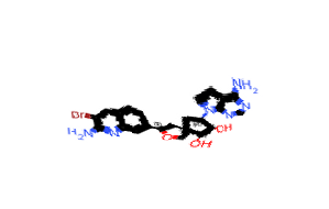 Nc1nc2cc([C@H]3C[C@@]4(CO3)C[C@@H](n3ccc5c(N)ncnc53)[C@H](O)[C@@H]4O)ccc2cc1Br